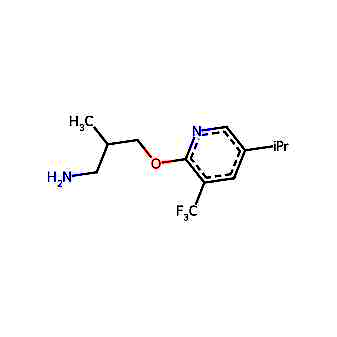 CC(CN)COc1ncc(C(C)C)cc1C(F)(F)F